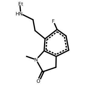 CCNCCc1c(F)ccc2c1N(C)C(=O)C2